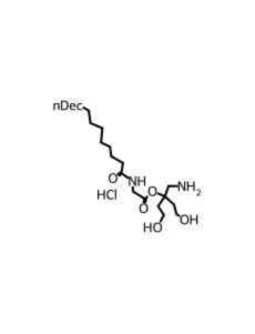 CCCCCCCCCCCCCCCCCC(=O)NCC(=O)OC(CN)(CCO)CCO.Cl